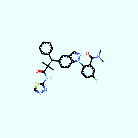 CN(C)C(=O)c1cc(F)ccc1-n1ncc2cc([C@H](c3ccccc3)C(C)(C)C(=O)Nc3nncs3)ccc21